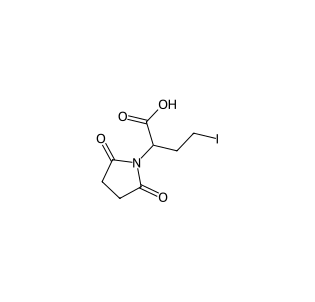 O=C(O)C(CCI)N1C(=O)CCC1=O